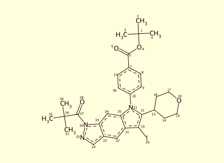 CC(C)(C)OC(=O)c1ccc(-n2c(C3CCOCC3)c(I)c3cc4cnn(C(=O)C(C)(C)C)c4cc32)cc1